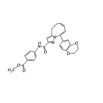 COC(=O)c1ccc(NC(=O)c2cc3n(n2)/C(c2ccc4c(c2)OCCO4)=C\C=C/CC3)cc1